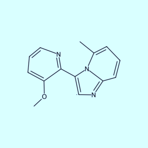 COc1cccnc1-c1[c]nc2cccc(C)n12